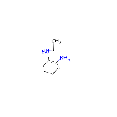 CCNC1=C(N)C=CCC1